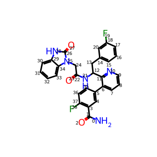 NC(=O)c1cc(-c2cccnc2C(Cc2cccc(F)c2)NC(=O)Cn2c(=O)[nH]c3ccccc32)ccc1F